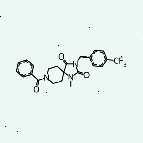 CN1C(=O)N(Cc2ccc(C(F)(F)F)cc2)C(=O)C12CCN(C(=O)c1ccccc1)CC2